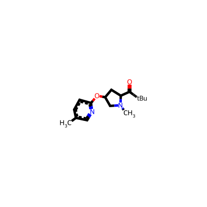 Cc1ccc(OC2CC(C(=O)C(C)(C)C)N(C)C2)nc1